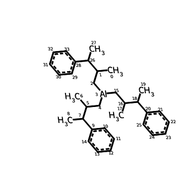 CC([CH2][Al]([CH2]C(C)C(C)c1ccccc1)[CH2]C(C)C(C)c1ccccc1)C(C)c1ccccc1